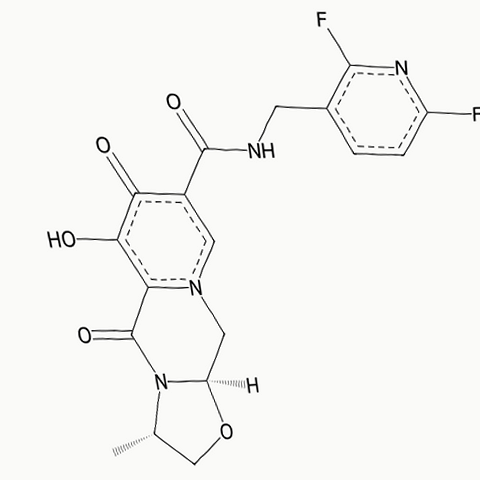 C[C@H]1CO[C@@H]2Cn3cc(C(=O)NCc4ccc(F)nc4F)c(=O)c(O)c3C(=O)N12